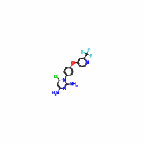 NC1=CC(Cl)N(c2ccc(Oc3ccnc(C(F)(F)F)c3)cc2)C(N)=N1